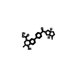 CC(=O)N1c2ccc(-c3ccc(C(=O)N4C[C@H]5CCN(C)[C@H]5C4)cc3)cc2N(C(=O)OC(C)C)C[C@@H]1C